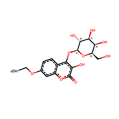 CCCCCCCCCCCOc1ccc2c(O[C@@H]3O[C@H](CO)[C@H](O)[C@H](O)[C@H]3O)c(O)c(=O)oc2c1